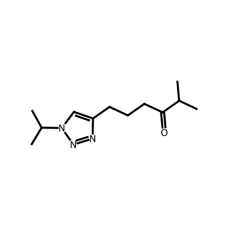 CC(C)C(=O)CCCc1cn(C(C)C)nn1